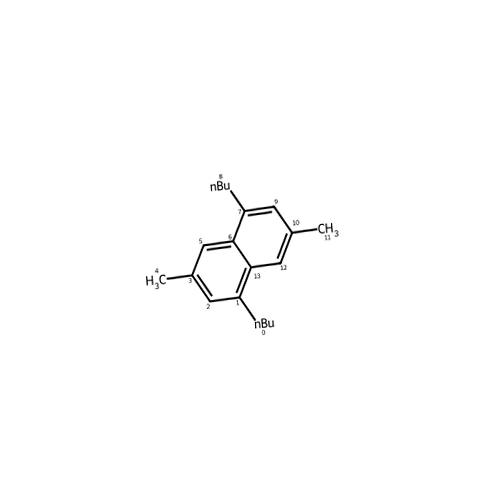 CCCCc1cc(C)cc2c(CCCC)cc(C)cc12